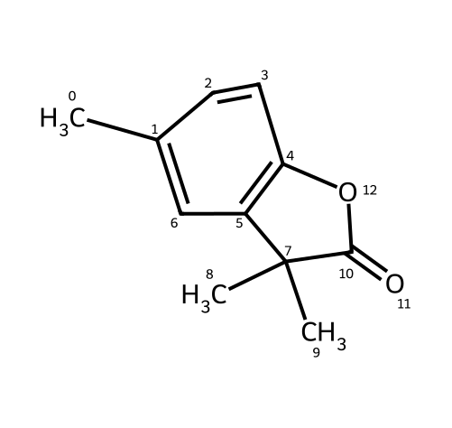 Cc1ccc2c(c1)C(C)(C)C(=O)O2